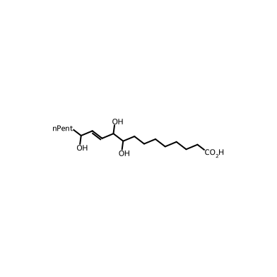 CCCCCC(O)/C=C/C(O)C(O)CCCCCCCC(=O)O